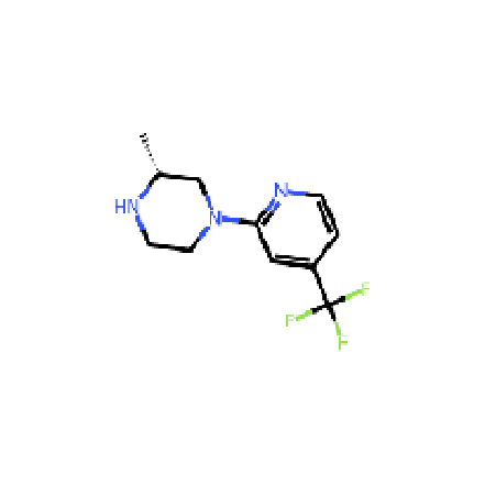 C[C@@H]1CN(c2cc(C(F)(F)F)ccn2)CCN1